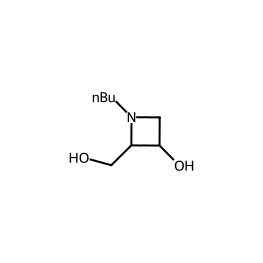 CCCCN1CC(O)C1CO